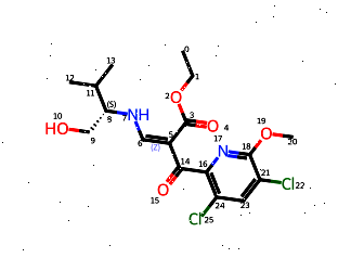 CCOC(=O)/C(=C\N[C@H](CO)C(C)C)C(=O)c1nc(OC)c(Cl)cc1Cl